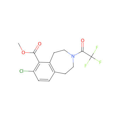 COC(=O)c1c(Cl)ccc2c1CCN(C(=O)C(F)(F)F)CC2